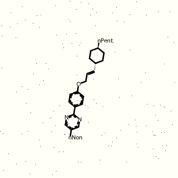 CCCCCCCCCc1cnc(-c2ccc(OC/C=C/[C@H]3CC[C@H](CCCCC)CC3)cc2)nc1